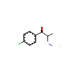 CC(C)(C)C(NC(=O)O)C(=O)c1ccc(Cl)cc1